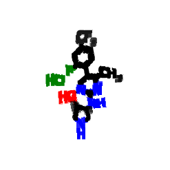 Cc1nc(N[C@@H]2CNC[C@H]2O)ncc1-c1ccc(C(F)(F)F)cc1F.Cl